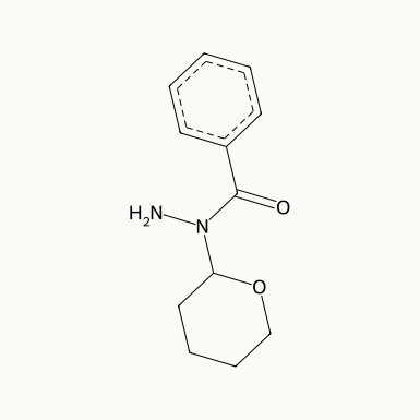 NN(C(=O)c1ccccc1)C1CCCCO1